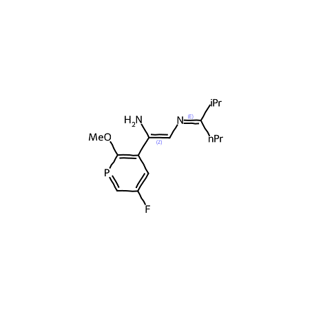 CCC/C(=N\C=C(/N)c1cc(F)cpc1OC)C(C)C